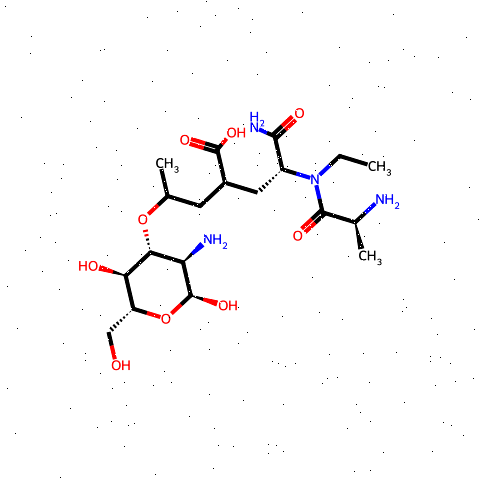 CCN(C(=O)[C@H](C)N)[C@H](CC(CC(C)O[C@@H]1[C@@H](N)[C@@H](O)O[C@H](CO)[C@H]1O)C(=O)O)C(N)=O